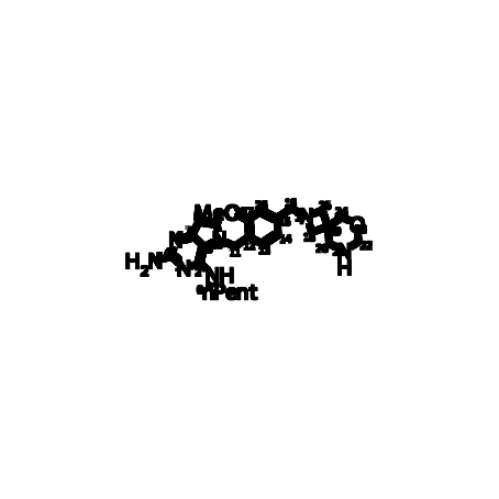 CCCCCNc1nc(N)nc2ccn(Cc3ccc(CN4CC5(CNCOC5)C4)cc3OC)c12